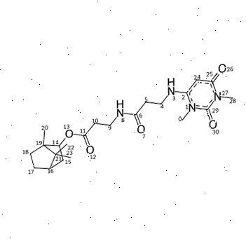 Cn1c(NCCC(=O)NCCC(=O)OC2CC3CCC2(C)C3(C)C)cc(=O)n(C)c1=O